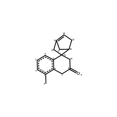 Cc1cccc2c1CC(=O)CC21CC2=CCC1C2